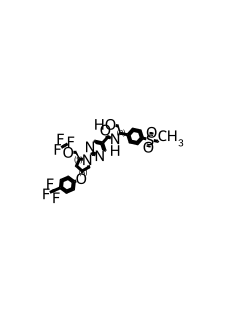 CCS(=O)(=O)c1ccc([C@H](CO)NC(=O)c2cnc(N3C[C@@H](Oc4ccc(C(F)(F)F)cc4)C[C@H]3COC(F)(F)F)nc2)cc1